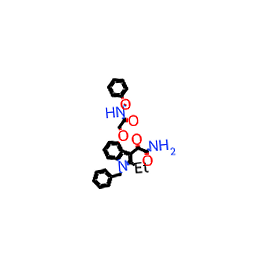 CCc1c(C(=O)C(N)=O)c2c(OCC(=O)NOc3ccccc3)cccc2n1Cc1ccccc1